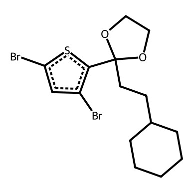 Brc1cc(Br)c(C2(CCC3CCCCC3)OCCO2)s1